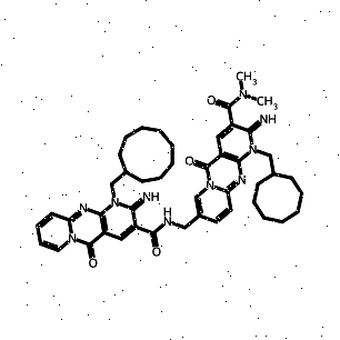 CN(C)C(=O)c1cc2c(=O)n3cc(CNC(=O)c4cc5c(=O)n6ccccc6nc5n(CC5CCCCCCCC5)c4=N)ccc3nc2n(CC2CCCCCCC2)c1=N